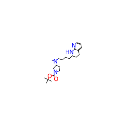 CN(CCCCC1CCc2cccnc2N1)[C@@H]1CCN(C(=O)OC(C)(C)C)C1